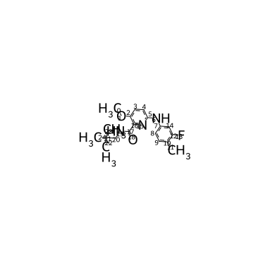 COc1ccc(Nc2ccc(C)c(F)c2)nc1C(=O)NCC(C)(C)C